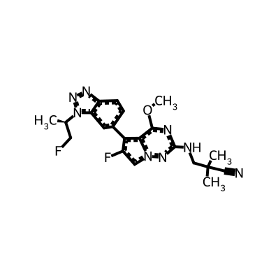 COc1nc(NCC(C)(C)C#N)nn2cc(F)c(-c3ccc4nnn([C@H](C)CF)c4c3)c12